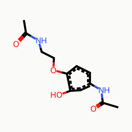 CC(=O)NCCOc1ccc(NC(C)=O)cc1O